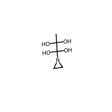 CC(O)(O)C(O)(O)N1CC1